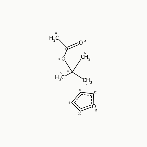 CC(=O)OC(C)(C)C.c1ccoc1